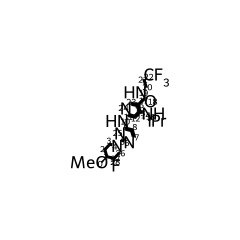 CO[C@H]1CCN(c2nccc(Nc3cc(NC(C)C)c(C(=O)NCCC(F)(F)F)cn3)n2)C[C@H]1F